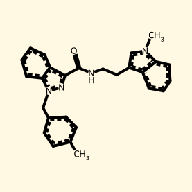 Cc1ccc(Cn2nc(C(=O)NCCc3cn(C)c4ccccc34)c3ccccc32)cc1